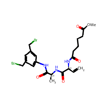 C=C[C@H](NC(=O)CCCCC(=O)OC)C(=O)N[C@@H](C)C(=O)Nc1cc(CBr)cc(CBr)c1